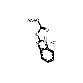 COC(=O)Nc1nc2ccccc2[nH]1.Cl